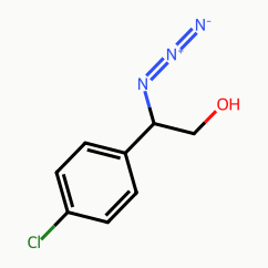 [N-]=[N+]=NC(CO)c1ccc(Cl)cc1